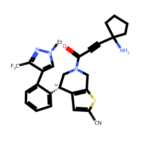 CCn1cc(-c2ccccc2[C@@H]2CN(C(=O)C#CC3(N)CCCC3)Cc3sc(C#N)cc32)c(C(F)(F)F)n1